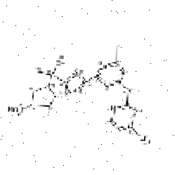 Cc1cc(Nc2nccc(C(F)(F)F)n2)cc(-c2cnc(C(C)(O)C3CCC(C(=O)O)C3)s2)c1